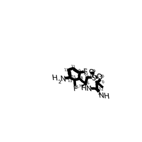 CC1(C)C(=N)N[C@](C)(C2C(F)=CC=C(N)C2F)CS1(=O)=O